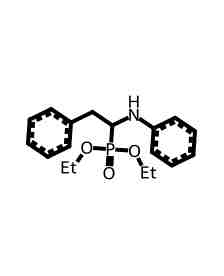 CCOP(=O)(OCC)C(Cc1ccccc1)Nc1ccccc1